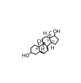 C[C@]12CCC(O)CC1=CC=C1[C@H]2CC[C@]2(C)C(O)CC[C@@H]12